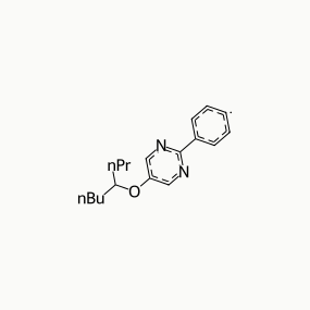 CCCCC(CCC)Oc1cnc(-c2cc[c]cc2)nc1